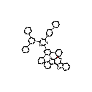 c1ccc(-c2ccc(-c3nc(-c4cc(-c5ccccc5)cc(-c5ccccc5)c4)nc(-c4cc(-c5ccccc5)c(-n5c6ccccc6c6c7oc8ccccc8c7ccc65)c(-c5ccccc5)c4)n3)cc2)cc1